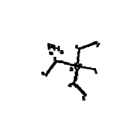 CC[N+](C)(CC)CC.P